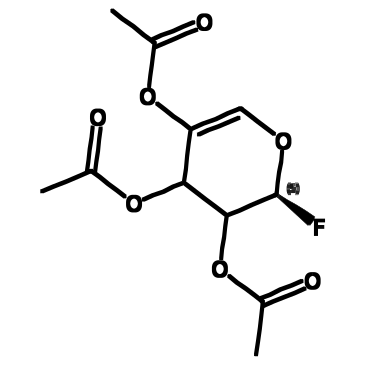 CC(=O)OC1=CO[C@@H](F)C(OC(C)=O)C1OC(C)=O